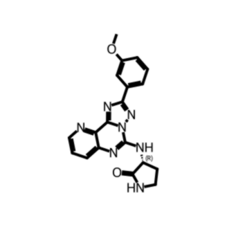 COc1cccc(-c2nc3c4ncccc4nc(N[C@@H]4CCNC4=O)n3n2)c1